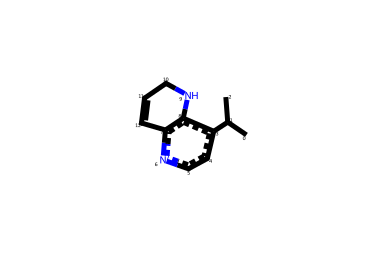 CC(C)c1ccnc2c1NCC=C2